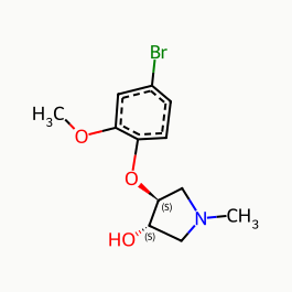 COc1cc(Br)ccc1O[C@H]1CN(C)C[C@@H]1O